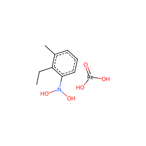 CCc1c(C)cccc1N(O)O.[O]=[Re]([OH])[OH]